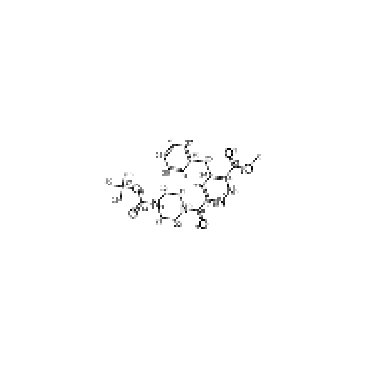 COC(=O)c1nnc(C(=O)N2CCN(C(=O)OC(C)(C)C)CC2)cc1Cc1ccccc1